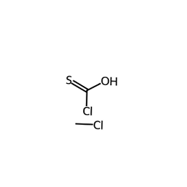 CCl.OC(=S)Cl